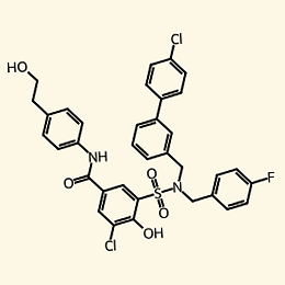 O=C(Nc1ccc(CCO)cc1)c1cc(Cl)c(O)c(S(=O)(=O)N(Cc2ccc(F)cc2)Cc2cccc(-c3ccc(Cl)cc3)c2)c1